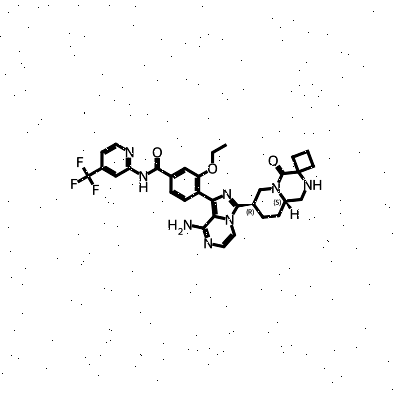 CCOc1cc(C(=O)Nc2cc(C(F)(F)F)ccn2)ccc1-c1nc([C@@H]2CC[C@H]3CNC4(CCC4)C(=O)N3C2)n2ccnc(N)c12